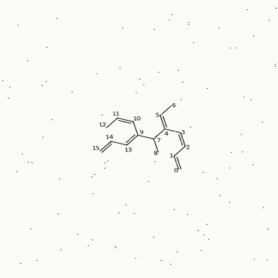 C=C/C=C\C(=C/C)C(C)C(/C=C\C)=C/C=C